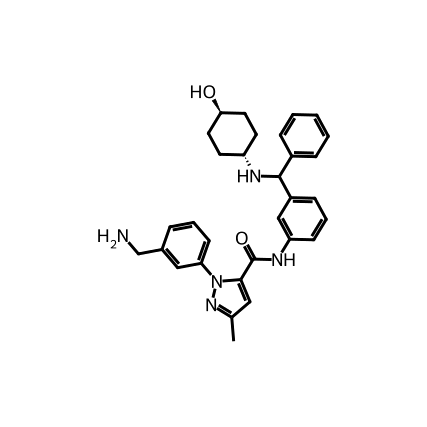 Cc1cc(C(=O)Nc2cccc(C(N[C@H]3CC[C@H](O)CC3)c3ccccc3)c2)n(-c2cccc(CN)c2)n1